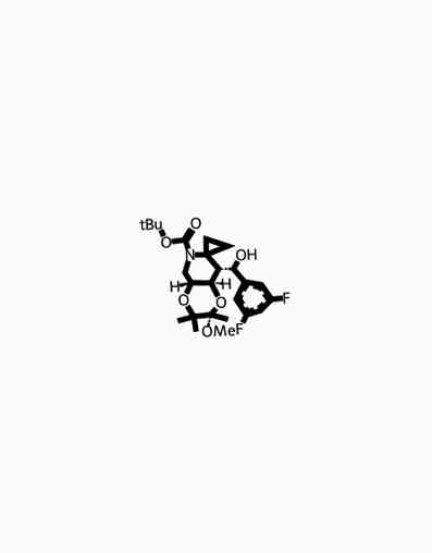 CO[C@@]1(C)O[C@@H]2[C@@H](C(O)c3cc(F)cc(F)c3)C3(CC3)N(C(=O)OC(C)(C)C)C[C@H]2OC1(C)C